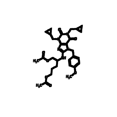 COc1ccc(Cn2c(NC(CCCOC(C)=O)COC(C)=O)nc3c2c(=O)n(CC2CC2)c(=O)n3CC2CC2)cc1